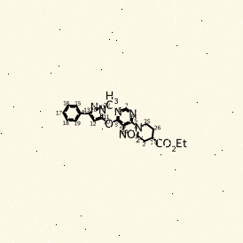 CCOC(=O)C1CCN(c2ncnc(Oc3cc(-c4ccccc4)nn3C)c2[N+](=O)[O-])CC1